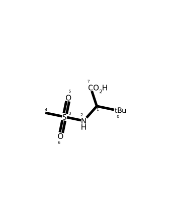 CC(C)(C)C(NS(C)(=O)=O)C(=O)O